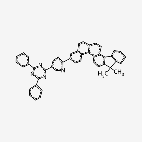 CC1(C)c2ccccc2-c2c1ccc1c2ccc2ccc3cc(-c4ccc(-c5nc(-c6ccccc6)nc(-c6ccccc6)n5)cn4)ccc3c21